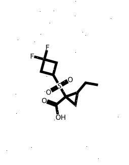 CCC1CC1(C(=O)O)S(=O)(=O)C1CC(F)(F)C1